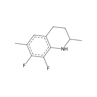 Cc1cc2c(c(F)c1F)NC(C)CC2